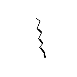 CCC=CC=CC=C=O